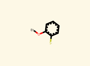 CCOc1ccccc1[S]